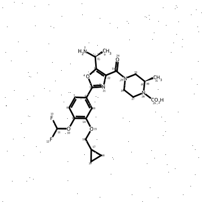 C[C@H](N)c1oc(-c2ccc(OC(F)F)c(OCC3CC3)c2)nc1C(=O)N1CCN(C(=O)O)[C@H](C)C1